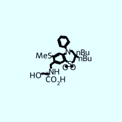 CCCCC1(CCCC)CN(c2ccccc2)c2cc(SC)c(CN[C@@H](CO)C(=O)O)cc2S(=O)(=O)C1